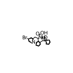 O=C(O)NC(Cc1cc(Br)ccn1)c1ccccc1-c1noc2ccccc12